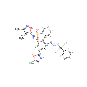 Cc1noc(NS(=O)(=O)c2ccccc2-c2ccc(-c3ncco3)cc2CNCC(F)(F)c2ccccc2)c1C.Cl